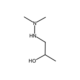 CC(O)CNN(C)C